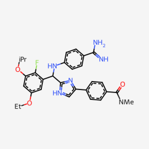 CCOc1cc(OC(C)C)c(F)c(C(Nc2ccc(C(=N)N)cc2)c2nc(-c3ccc(C(=O)NC)cc3)c[nH]2)c1